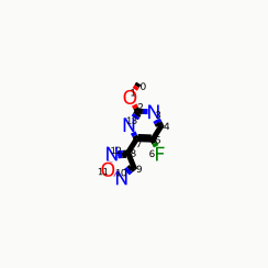 COc1ncc(F)c(-c2cnon2)n1